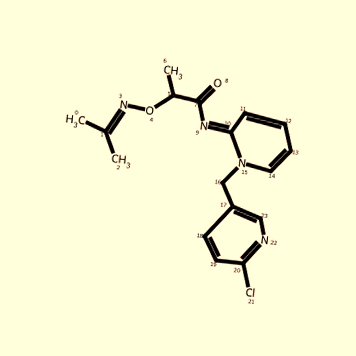 CC(C)=NOC(C)C(=O)/N=c1\ccccn1Cc1ccc(Cl)nc1